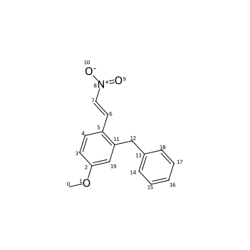 COc1ccc(/C=C/[N+](=O)[O-])c(Cc2ccccc2)c1